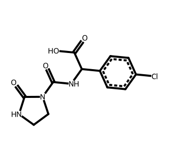 O=C(O)C(NC(=O)N1CCNC1=O)c1ccc(Cl)cc1